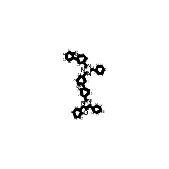 c1ccc(-c2nc(-c3ccc4sc5ccccc5c4c3)nc(-c3ccc4sc5cc(-c6nc(-c7ccccc7)c7oc8ccccc8c7n6)ccc5c4c3)n2)cc1